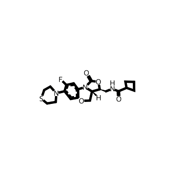 O=C(NC[C@@H]1OC(=O)N2c3cc(F)c(N4CCSCC4)cc3OC[C@@H]12)C1CCC1